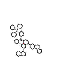 c1ccc(C2(c3ccccc3)c3ccccc3-c3ccc(N(c4ccc(-c5ccc6c(ccc7ccccc76)c5)cc4)c4ccccc4-c4cccc(-c5cccc6ccccc56)c4)cc32)cc1